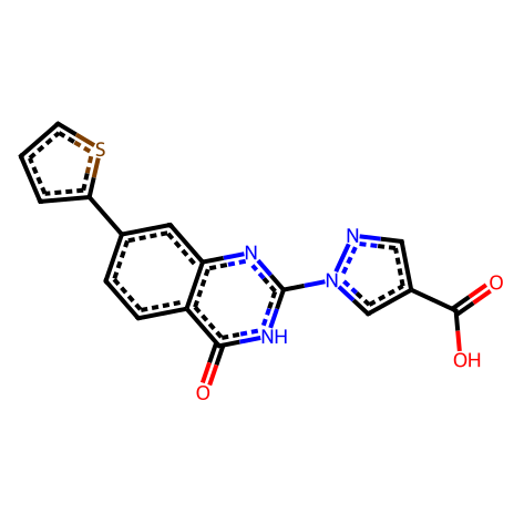 O=C(O)c1cnn(-c2nc3cc(-c4cccs4)ccc3c(=O)[nH]2)c1